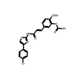 CCCC(=O)Oc1cc(/C=C/C(=O)Nc2nc(-c3ccc(Cl)cc3)cs2)ccc1OC